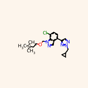 C[Si](C)(C)CCOCn1ncc2c(-c3cnn(CC4CC4)n3)ccc(Cl)c21